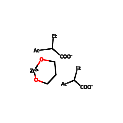 C1C[O][Zr+2][O]C1.CCC(C(C)=O)C(=O)[O-].CCC(C(C)=O)C(=O)[O-]